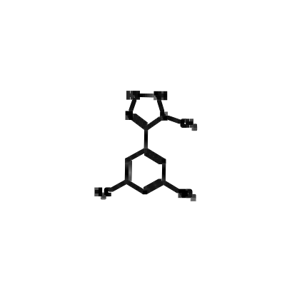 Cc1cc(C2=NNNN2C)cc([N+](=O)[O-])c1